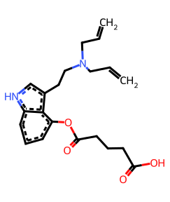 C=CCN(CC=C)CCc1c[nH]c2cccc(OC(=O)CCCC(=O)O)c12